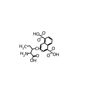 CCC(C)C(N)C(=O)O.O=S(=O)(O)c1cccc2c(S(=O)(=O)O)cccc12